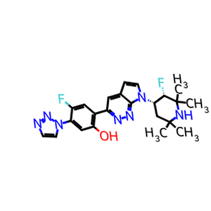 CC1(C)C[C@H](n2ccc3cc(-c4cc(F)c(-n5ccnn5)cc4O)nnc32)[C@H](F)C(C)(C)N1